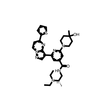 CCN(CC)[C@@H](C)CNC(=O)c1cc(-c2cnn3ccc(-c4cccs4)nc23)nc(N2CCC(C)(O)CC2)c1